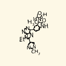 CCn1c(-c2cnc(C)nc2)nc2c(-c3ccc4c(c3)[C@](C)(N3C[C@H]5C[C@@H]3CO5)C(=O)N4)ncnc21